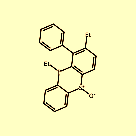 CCc1ccc2c(c1-c1ccccc1)P(CC)c1ccccc1[S+]2[O-]